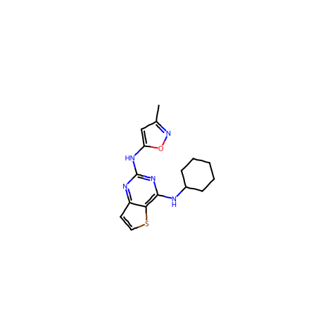 Cc1cc(Nc2nc(NC3CCCCC3)c3sccc3n2)on1